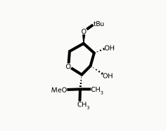 COC(C)(C)[C@@H]1OC[C@@H](OC(C)(C)C)[C@H](O)[C@@H]1O